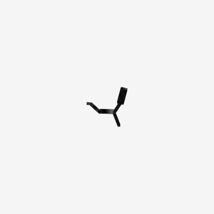 C#CC(C)=C[CH2]